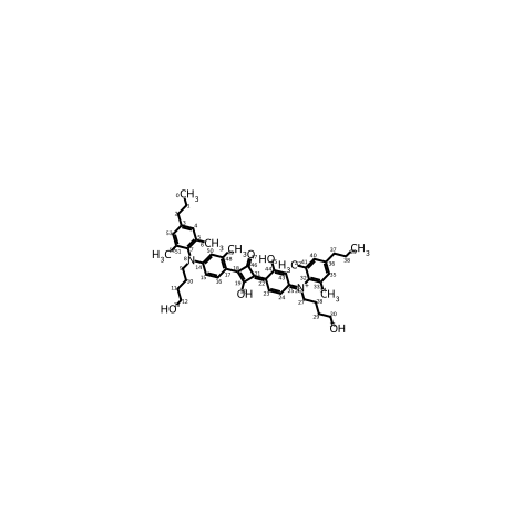 CCCc1cc(C)c(N(CCCCO)c2ccc(C3=C(O)/C(=C4C=C/C(=[N+](\CCCCO)c5c(C)cc(CCC)cc5C)C=C\4O)C3=O)c(C)c2)c(C)c1